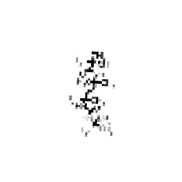 CC(C)(C)NC(=O)NC(C)(C)CCC(C)(C)NC(=O)C(C)(C)C